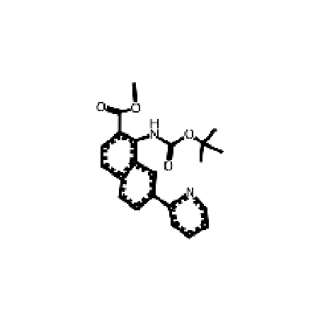 COC(=O)c1ccc2ccc(-c3ccccn3)cc2c1NC(=O)OC(C)(C)C